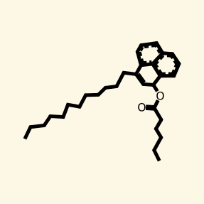 CCCCCCCCCCCCC1=CC(OC(=O)CCCCC)c2cccc3cccc1c23